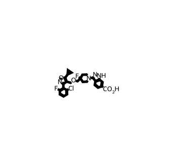 O=C(O)c1ccc2c(N3CCC(F)(COCc4c(-c5c(F)cccc5Cl)noc4C4CC4)CC3)n[nH]c2c1